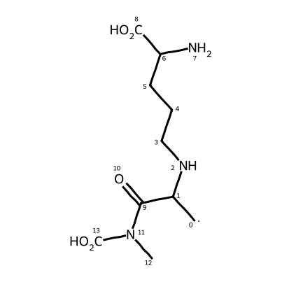 [CH2]C(NCCCC(N)C(=O)O)C(=O)N(C)C(=O)O